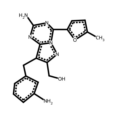 Cc1ccc(-c2nc(N)nc3c(Cc4cccc(N)c4)c(CO)nn23)o1